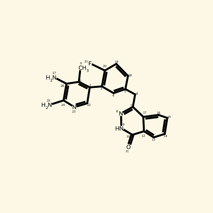 Cc1c(-c2cc(Cc3n[nH]c(=O)c4ccccc34)ccc2F)cnc(N)c1N